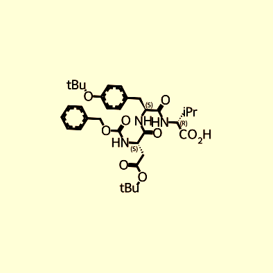 CC(C)[C@@H](NC(=O)[C@H](Cc1ccc(OC(C)(C)C)cc1)NC(=O)[C@H](CC(=O)OC(C)(C)C)NC(=O)OCc1ccccc1)C(=O)O